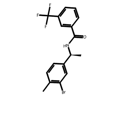 Cc1ccc([C@H](C)NC(=O)c2cccc(C(F)(F)F)c2)cc1Br